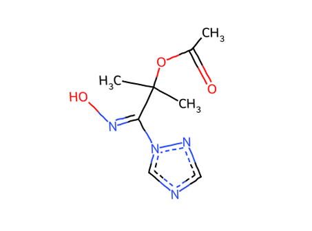 CC(=O)OC(C)(C)C(=NO)n1cncn1